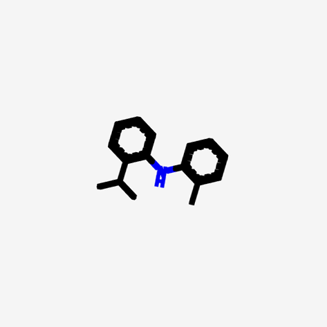 Cc1ccccc1Nc1ccccc1C(C)C